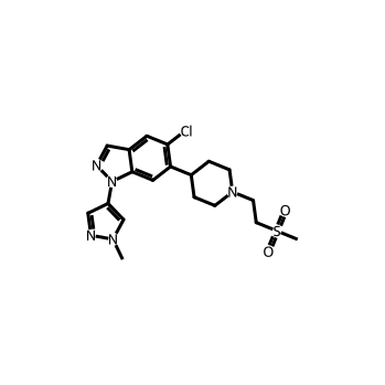 Cn1cc(-n2ncc3cc(Cl)c(C4CCN(CCS(C)(=O)=O)CC4)cc32)cn1